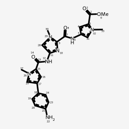 COC(=O)c1cc(NC(=O)c2nc(NC(=O)c3cc(-c4ccc(N)cc4)cn3C)cn2C)cn1C